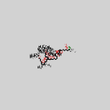 C=C(Br)CC(O)CC[C@@]12CC3OC4C(O1)[C@H]1OC(CC(=O)CC5C(CC6OC(CCCO[Si](CC)(CC)CC)CC(C)C6=C)OC(CC(CO[Si](C)(C)C(C)(C)C)O[Si](C)(C)C(C)(C)C)[C@@H]5OC)CCC1O[C@H]4C3O2